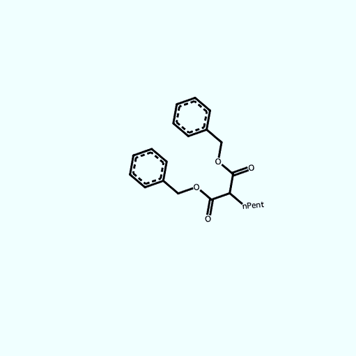 CCCCCC(C(=O)OCc1ccccc1)C(=O)OCc1ccccc1